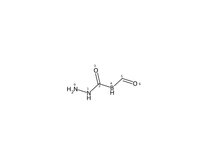 NNC(=O)BC=O